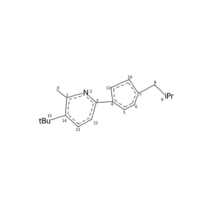 Cc1nc(-c2ccc(CC(C)C)cc2)ccc1C(C)(C)C